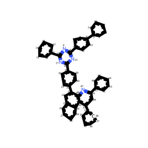 c1ccc(-c2ccc(-c3nc(-c4ccccc4)nc(-c4ccc(-c5cc6ccccc6c6c(-c7ccccc7)cc(-c7ccccc7)nc56)cc4)n3)cc2)cc1